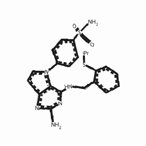 CC(C)Sc1ccccc1CNc1nc(N)nc2ccn(-c3ccc(S(N)(=O)=O)cc3)c12